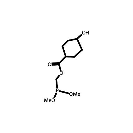 COP(COC(=O)C1CCC(O)CC1)OC